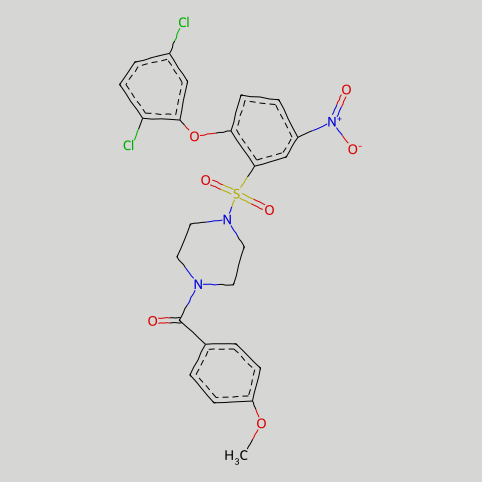 COc1ccc(C(=O)N2CCN(S(=O)(=O)c3cc([N+](=O)[O-])ccc3Oc3cc(Cl)ccc3Cl)CC2)cc1